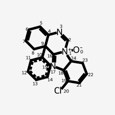 [O-][N+]12C=NC3=CC=CCC3(c3ccccc3)C1=NC1=C(Cl)C=CCC12